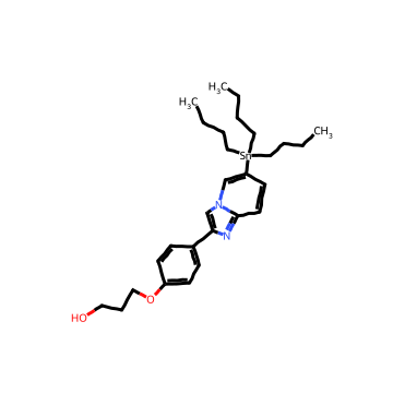 CCC[CH2][Sn]([CH2]CCC)([CH2]CCC)[c]1ccc2nc(-c3ccc(OCCCO)cc3)cn2c1